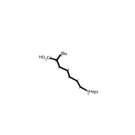 CCCCCCCCCCCCC(C(=O)O)C(C)(C)C